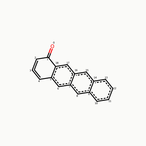 O=C1C=C=Cc2cc3cc4ccccc4cc3cc21